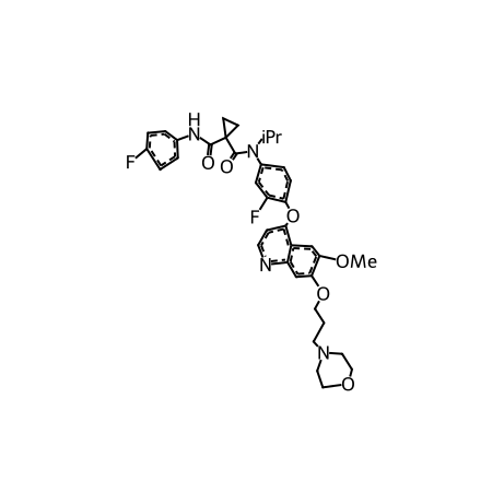 COc1cc2c(Oc3ccc(N(C(=O)C4(C(=O)Nc5ccc(F)cc5)CC4)C(C)C)cc3F)ccnc2cc1OCCCN1CCOCC1